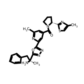 Cc1cc(C(=O)N2CCC[C@@H]2c2nc(C)cs2)cc(-c2nnc([C@@](C)(N)Cc3ccccc3)o2)n1